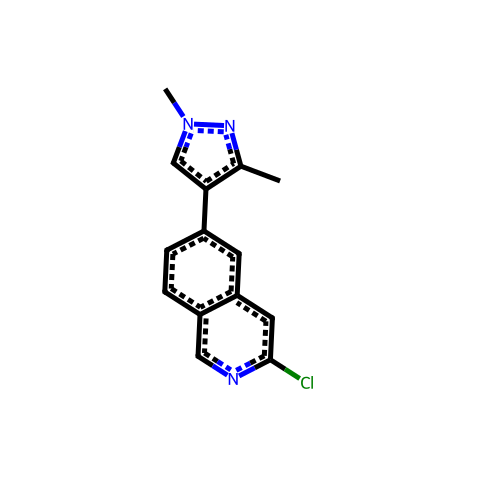 Cc1nn(C)cc1-c1ccc2cnc(Cl)cc2c1